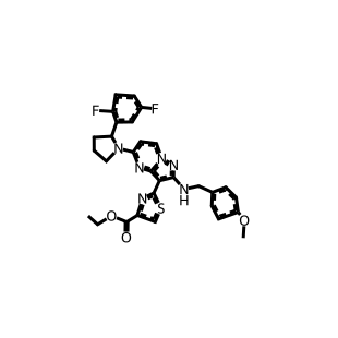 CCOC(=O)c1csc(-c2c(NCc3ccc(OC)cc3)nn3ccc(N4CCCC4c4cc(F)ccc4F)nc23)n1